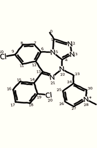 Cc1nnc2n1-c1ccc(Cl)cc1C(c1ccccc1Cl)=NN2Cc1ccc[n+]([O-])c1